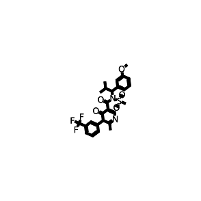 COc1cccc(C(C(C)C)N(C(=O)C2=CN=C(C)C(c3cccc(C(F)(F)F)c3)C2=O)S(C)(=O)=O)c1